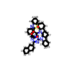 c1ccc(-c2nc(-c3ccc4ccccc4c3)nc(-n3c4ccccc4c4ccc5c6ccccc6n(-c6ccccc6-c6nc7ccccc7s6)c5c43)n2)cc1